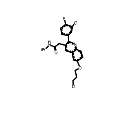 CC(C)NC(=O)Cc1cc2cc(OCCCCl)ccc2nc1-c1ccc(F)c(Cl)c1